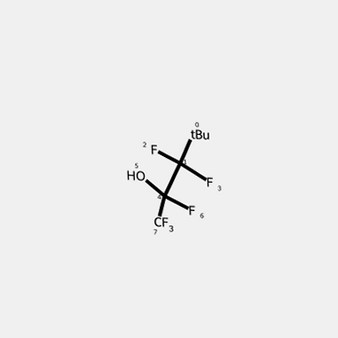 CC(C)(C)C(F)(F)C(O)(F)C(F)(F)F